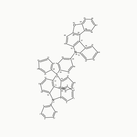 c1ccc(-n2c3ccccc3c3c(S(c4ccccc4)(c4ccccc4)c4ccc(-n5c6ccccc6c6c7c(ccc65)oc5ccccc57)cc4)cccc32)cc1